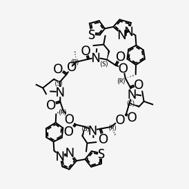 CC(C)C[C@H]1C(=O)O[C@H](Cc2ccc(Cn3ccc(-c4ccsc4)n3)cc2)C(=O)N(C)[C@@H](CC(C)C)C(=O)O[C@H](C)C(=O)N(C)[C@@H](CC(C)C)C(=O)O[C@H](Cc2ccc(Cn3ccc(-c4ccsc4)n3)cc2)C(=O)N(C)[C@@H](CC(C)C)C(=O)O[C@H](C)C(=O)N1C